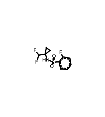 O=S(=O)(NC1(C(F)F)CC1)c1ccccc1F